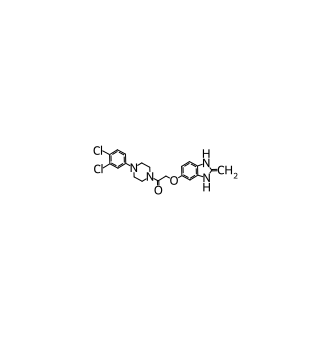 C=C1Nc2ccc(OCC(=O)N3CCN(c4ccc(Cl)c(Cl)c4)CC3)cc2N1